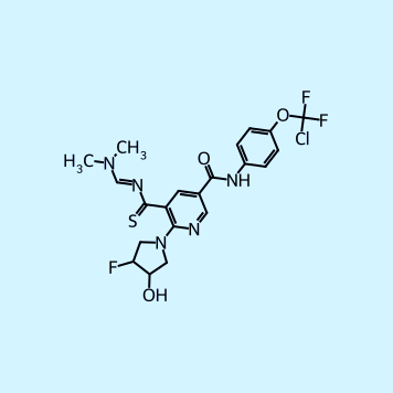 CN(C)/C=N/C(=S)c1cc(C(=O)Nc2ccc(OC(F)(F)Cl)cc2)cnc1N1CC(O)C(F)C1